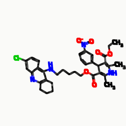 CCOC(=O)C1=C(C)NC(C)=C(C(=O)OCCCCCNc2c3c(nc4cc(Cl)ccc24)CCCC3)C1c1cccc([N+](=O)[O-])c1